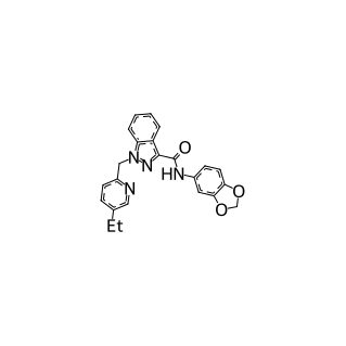 CCc1ccc(Cn2nc(C(=O)Nc3ccc4c(c3)OCO4)c3ccccc32)nc1